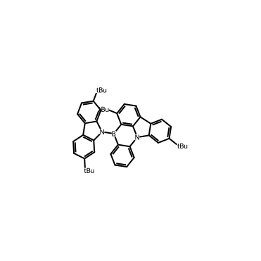 CC(C)(C)c1ccc2c3ccc(C(C)(C)C)cc3n(B3c4ccccc4-n4c5cc(C(C)(C)C)ccc5c5ccc(C(C)(C)C)c3c54)c2c1